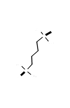 O=P(O)(O)CCCCP(=O)(O)O